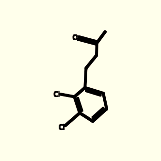 CC(=O)CCc1cccc(Cl)c1Cl